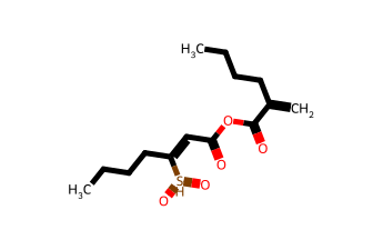 C=C(CCCC)C(=O)OC(=O)C=C(CCCC)[SH](=O)=O